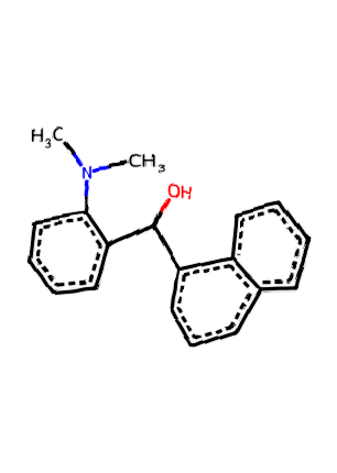 CN(C)c1ccccc1C(O)c1cccc2ccccc12